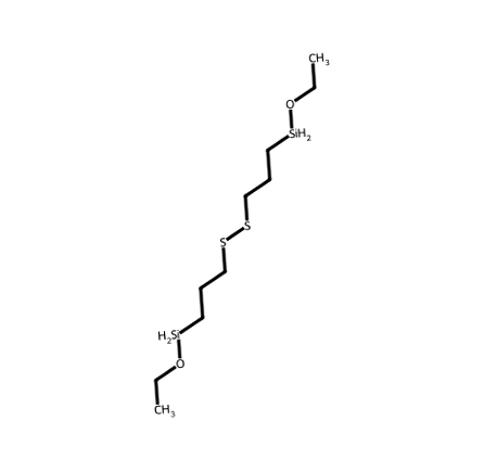 CCO[SiH2]CCCSSCCC[SiH2]OCC